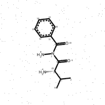 CC(C)[C@H](N)C(=O)N(N)C(=O)c1ccccc1